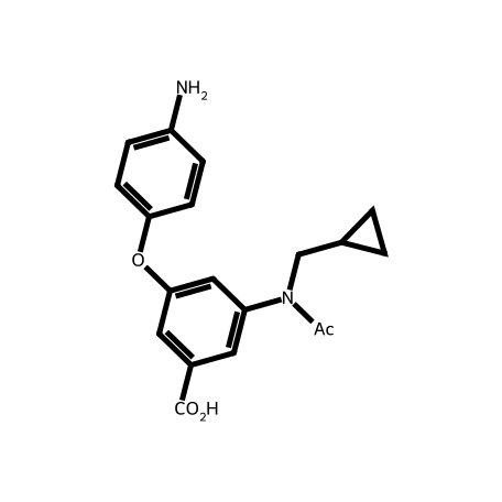 CC(=O)N(CC1CC1)c1cc(Oc2ccc(N)cc2)cc(C(=O)O)c1